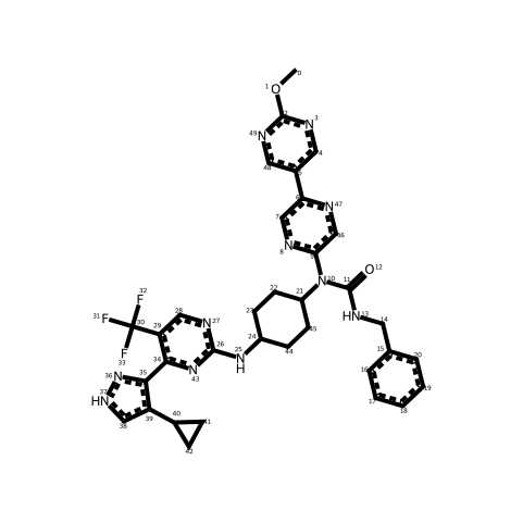 COc1ncc(-c2cnc(N(C(=O)NCc3ccccc3)C3CCC(Nc4ncc(C(F)(F)F)c(-c5n[nH]cc5C5CC5)n4)CC3)cn2)cn1